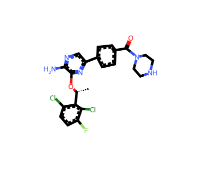 C[C@@H](Oc1nc(-c2ccc(C(=O)N3CCNCC3)cc2)cnc1N)c1c(Cl)ccc(F)c1Cl